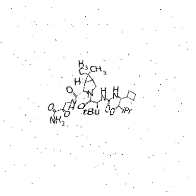 CC(C)C(=O)[C@@H](NC(=O)N[C@H](C(=O)N1CC2[C@@H]([C@H]1C(=O)NCC(=O)C(N)=O)C2(C)C)C(C)(C)C)C1CCC1